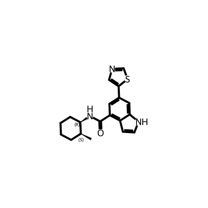 C[C@H]1CCCC[C@H]1NC(=O)c1cc(-c2cncs2)cc2[nH]ccc12